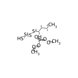 CCCCSSSS.COOP(O)OOC